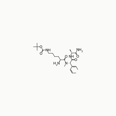 C/C=C\C(=C/C)[C@@H](C(=O)N[C@@H](C)C(N)=O)N(C)C(=O)[C@@H](N)CCCCNC(=O)OC(C)(C)C